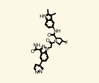 Cc1[nH]c2ccc(NC(=O)C3CC(F)CN3C(=O)Cn3nc(C(N)=O)c4cc(-c5ccnnc5)ccc43)cc2c1C